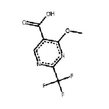 COc1nc(C(F)(F)F)ncc1C(=O)O